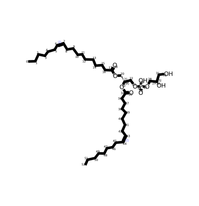 CCCCCC/C=C\CCCCCCCCCC(=O)OC[C@H](COP(=O)(O)OC[C@@H](O)CO)OC(=O)CCCCCCC/C=C\CCCCCCCC